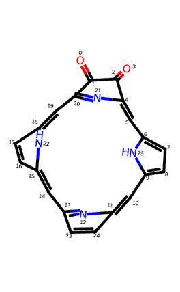 O=C1C(=O)c2cc3ccc(cc4nc(cc5ccc(cc1n2)[nH]5)C=C4)[nH]3